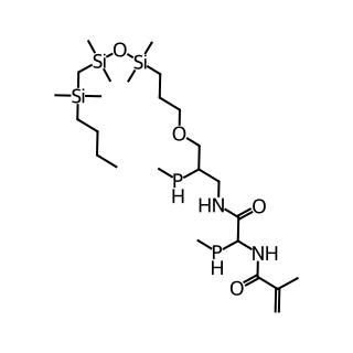 C=C(C)C(=O)NC(PC)C(=O)NCC(COCCC[Si](C)(C)O[Si](C)(C)C[Si](C)(C)CCCC)PC